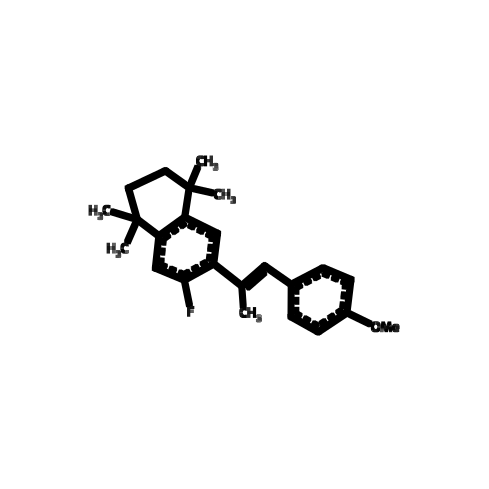 COc1ccc(C=C(C)c2cc3c(cc2F)C(C)(C)CCC3(C)C)cc1